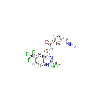 Cc1nc(SCC(=O)c2ccc(CN)s2)c2cc(C(F)(F)F)ccc2n1.Cl